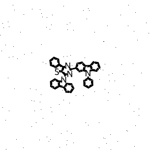 c1ccc(-n2c3ccccc3c3ccc(-c4nc(-n5c6ccccc6c6ccccc65)c5sc6ccccc6c5n4)cc32)cc1